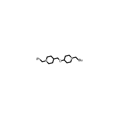 CCC(C)CN1CCC(OCC2CCN(CC(C)C)CC2)CC1